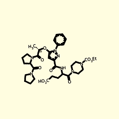 CCOC(=O)N1CCN(C(=O)C(CCC(=O)O)NC(=O)c2cc(O[C@@H](C)C(=O)N3CCCC3C(=O)N3CCCC3)n(-c3ccccc3)n2)CC1